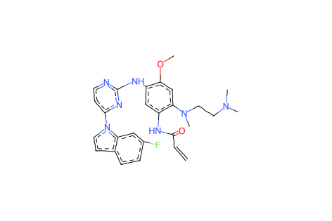 C=CC(=O)Nc1cc(Nc2nccc(-n3ccc4ccc(F)cc43)n2)c(OC)cc1N(C)CCN(C)C